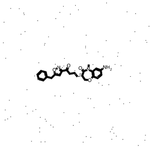 CN1C(=O)[C@@H](CCCC(=O)c2cc(Cc3ccccc3)on2)COc2ccc(N)cc21